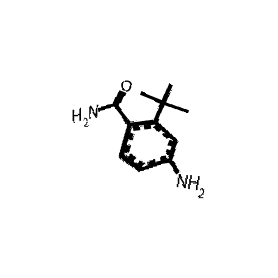 CC(C)(C)c1cc(N)ccc1C(N)=O